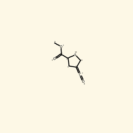 COC(=O)C1CC(=C=O)CS1